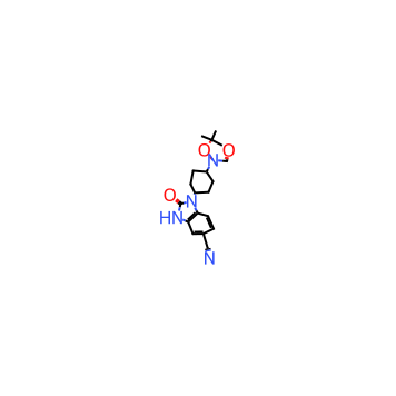 CC(C)(C)ON(C=O)C1CCC(n2c(=O)[nH]c3cc(C#N)ccc32)CC1